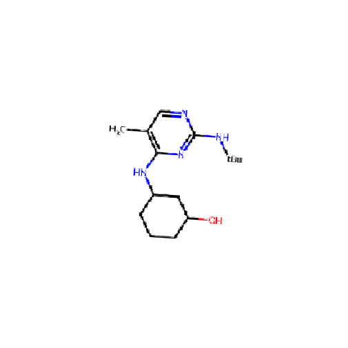 Cc1cnc(NC(C)(C)C)nc1NC1CCCC(O)C1